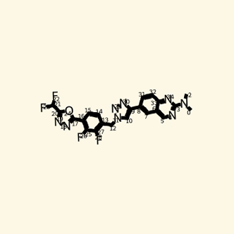 CN(C)c1ncc2cc(-c3cn(Cc4ccc(-c5nnc(C(F)F)o5)c(F)c4F)nn3)ccc2n1